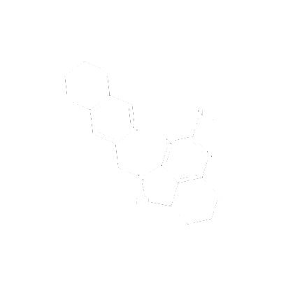 Nc1nc2c3c(n1)N(Cc1cc4c(cn1)OCCO4)NC3CCS2